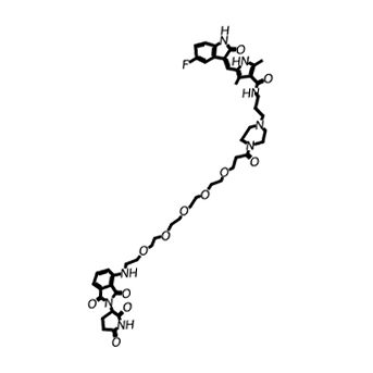 Cc1[nH]c(/C=C2\C(=O)Nc3ccc(F)cc32)c(C)c1C(=O)NCCCN1CCN(C(=O)CCOCCOCCOCCOCCOCCNc2cccc3c2C(=O)N(C2CCC(=O)NC2=O)C3=O)CC1